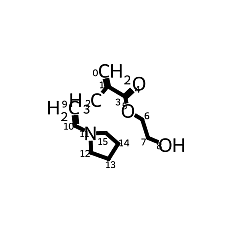 C=C(C)C(=O)OCCO.C=CN1CCCC1